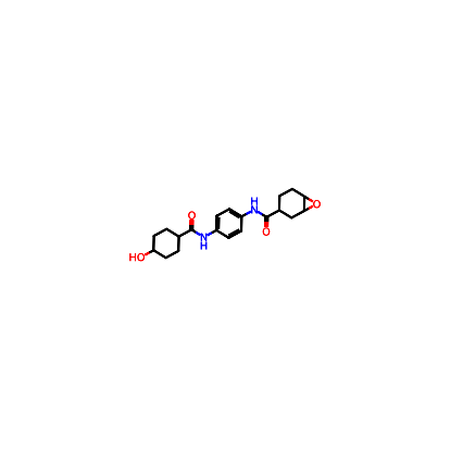 O=C(Nc1ccc(NC(=O)C2CCC3OC3C2)cc1)C1CCC(O)CC1